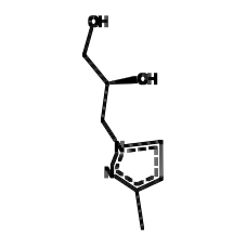 Cc1ccn(C[C@H](O)CO)n1